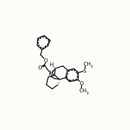 COc1cc2c(cc1SC)C[C@H]1[C@H]3CCCC[C@@]23CCN1C(=O)OCc1ccccc1